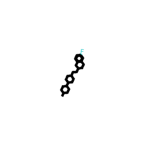 CC1CCC(C2CCC(CCC3CCc4cc(F)ccc4C3)CC2)CC1